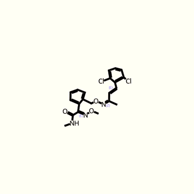 CNC(=O)/C(=N/OC)c1ccccc1CO/N=C(C)\C=C\c1c(Cl)cccc1Cl